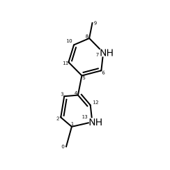 CC1C=CC(C2=CNC(C)C=C2)=CN1